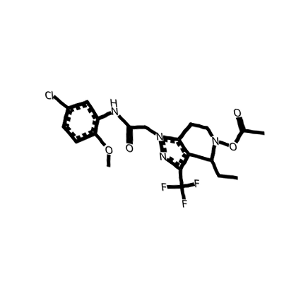 CCC1c2c(C(F)(F)F)nn(CC(=O)Nc3cc(Cl)ccc3OC)c2CCN1OC(C)=O